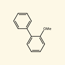 COc1ccccc1-c1c[c]ccc1